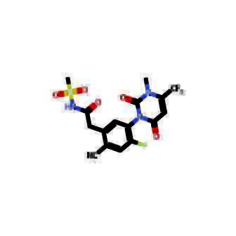 Cn1c(C(F)(F)F)cc(=O)n(-c2cc(CC(=O)NS(C)(=O)=O)c(C#N)cc2F)c1=O